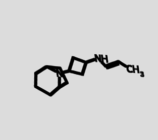 C/C=C/NC1CC(N2C3CCCC2CC3)C1